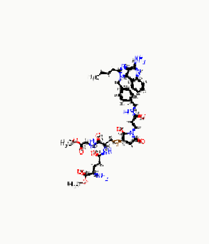 CCCCc1nc2c(N)nc3ccccc3c2n1Cc1ccc(CNC(=O)CCN2C(=O)CC(SC[C@@H](NC(=O)CCC(N)C(=O)OC)C(=O)NCC(=O)OC)C2=O)cc1